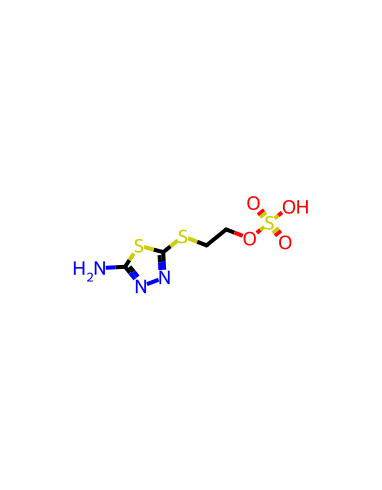 Nc1nnc(SCCOS(=O)(=O)O)s1